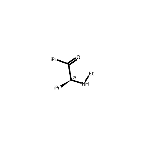 CCN[C@H](C(=O)C(C)C)C(C)C